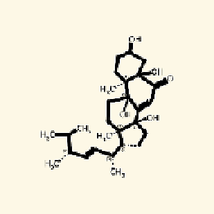 CC(C)[C@@H](C)C=C[C@@H](C)[C@H]1CC[C@@]2(O)C3=CC(=O)C4(O)CC(O)CC[C@]4(C)[C@@]3(O)CC[C@]12C